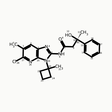 Cc1cc2nc(NC(=O)C[C@@](C)(O)c3ccccc3)n(C3(C)CCC3)c2nc1Cl